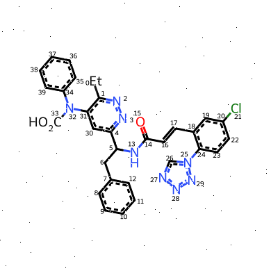 CCc1nnc(C(Cc2ccccc2)NC(=O)C=Cc2cc(Cl)ccc2-n2cnnn2)cc1N(C(=O)O)c1ccccc1